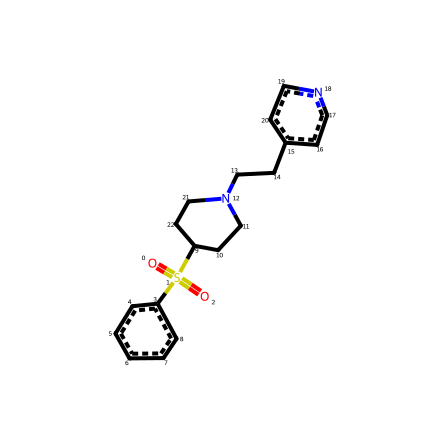 O=S(=O)(c1ccccc1)C1CCN(CCc2ccncc2)CC1